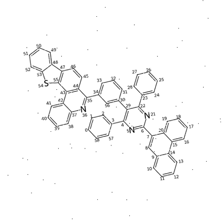 c1ccc(-c2nc(-c3cc4ccccc4c4ccccc34)nc(-c3ccccc3)c2-c2cccc(-c3nc4ccccc4c4c3ccc3c5ccccc5sc34)c2)cc1